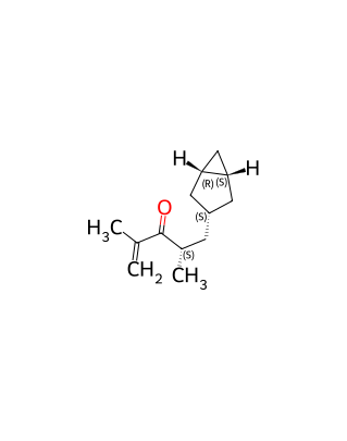 C=C(C)C(=O)[C@@H](C)C[C@@H]1C[C@@H]2C[C@@H]2C1